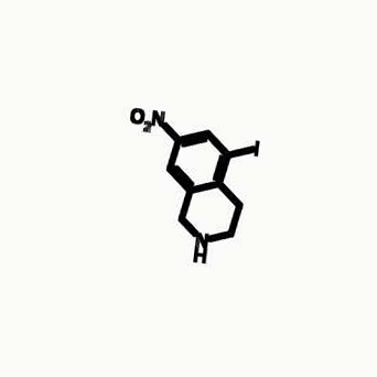 O=[N+]([O-])c1cc(I)c2c(c1)CNCC2